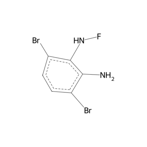 Nc1c(Br)ccc(Br)c1NF